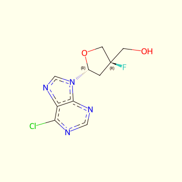 OC[C@@]1(F)CO[C@@H](n2cnc3c(Cl)ncnc32)C1